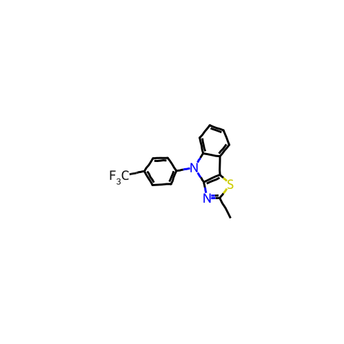 Cc1nc2c(s1)c1ccccc1n2-c1ccc(C(F)(F)F)cc1